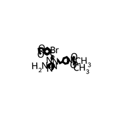 CO[C@H](C)C(=O)N1CCC(CCn2c(Sc3cc4c(cc3Br)OCCO4)nc3c(N)ncnc32)CC1